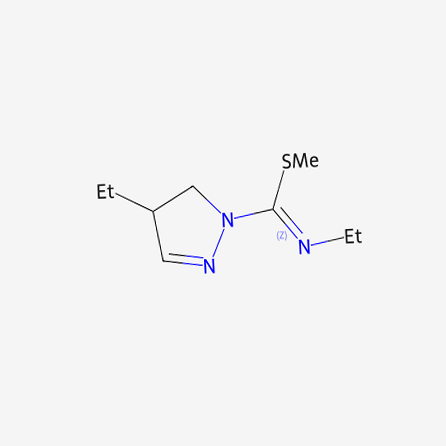 CC/N=C(\SC)N1CC(CC)C=N1